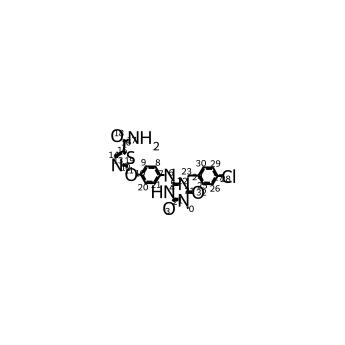 Cn1c(=O)[nH]/c(=N\c2ccc(Oc3ncc(C(N)=O)s3)cc2)n(Cc2ccc(Cl)cc2)c1=O